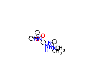 CN(C)c1nc(N[C@H]2CC[C@@H](NC(=O)C3CCCCC3C(=O)c3ccccc3)CC2)nc2c1CCCC2